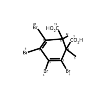 CC1(C(=O)O)C(Br)=C(Br)C(Br)=C(Br)C1(C)C(=O)O